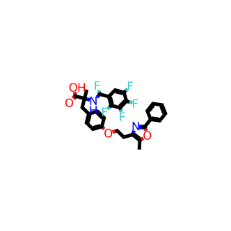 Cc1oc(-c2ccccc2)nc1CCOc1ccc(CC(C)(NC(F)c2cc(F)c(F)c(F)c2F)C(=O)O)cc1